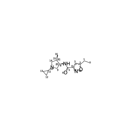 CCc1cc(C(=O)N[C@H]2CN(C3CC3)C[C@H]2C)no1